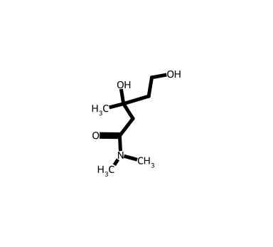 CN(C)C(=O)CC(C)(O)CCO